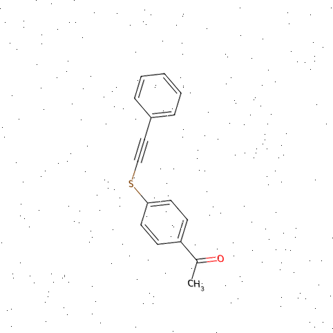 CC(=O)c1ccc(SC#Cc2ccccc2)cc1